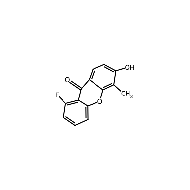 Cc1c(O)ccc2c(=O)c3c(F)cccc3oc12